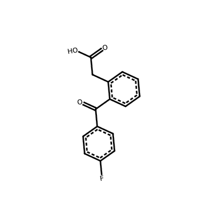 O=C(O)Cc1ccccc1C(=O)c1ccc(F)cc1